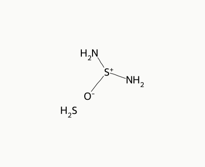 N[S+](N)[O-].S